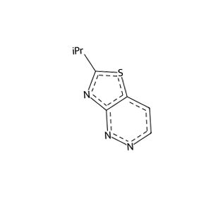 CC(C)c1nc2nnccc2s1